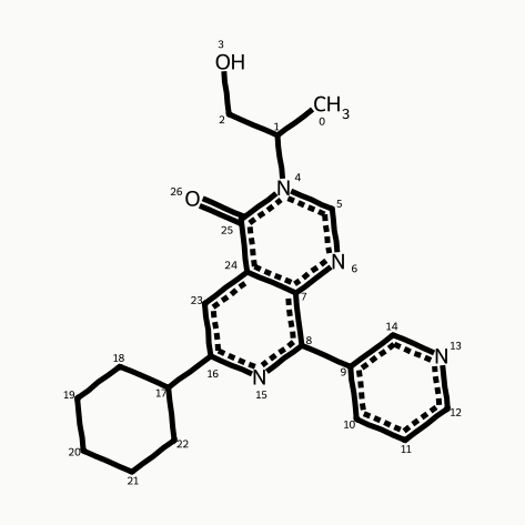 CC(CO)n1cnc2c(-c3cccnc3)nc(C3CCCCC3)cc2c1=O